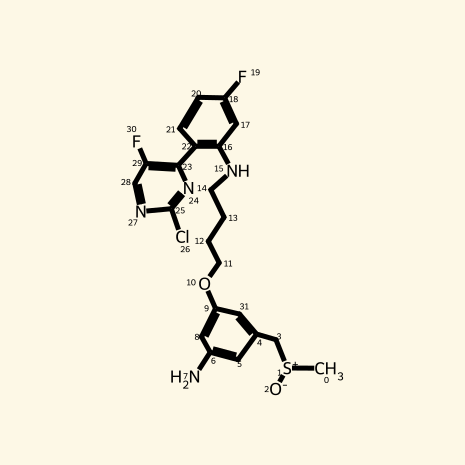 C[S+]([O-])Cc1cc(N)cc(OCCCCNc2cc(F)ccc2-c2nc(Cl)ncc2F)c1